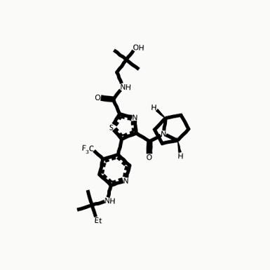 CCC(C)(C)Nc1cc(C(F)(F)F)c(-c2sc(C(=O)NCC(C)(C)O)nc2C(=O)N2[C@H]3CC[C@@H]2CC3)cn1